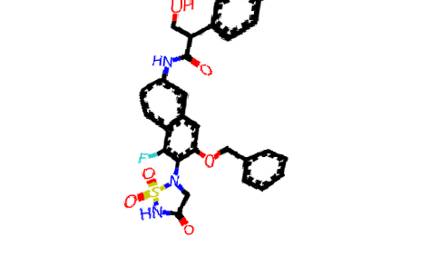 O=C1CN(c2c(OCc3ccccc3)cc3cc(NC(=O)C(CO)c4ccc(Br)cc4)ccc3c2F)S(=O)(=O)N1